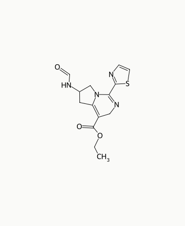 CCOC(=O)C1=C2CC(NC=O)CN2C(c2nccs2)=NC1